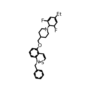 CCC1=CC(F)C(N2CCC(COc3cccc4c3C=CSN4Cc3ccccc3)CC2)C(F)=C1